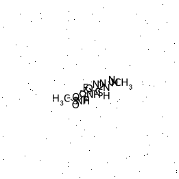 CCCS(=O)(=O)Nc1ccc(F)c(NC(=O)c2csc3c(Nc4cnn(C)c4)ncnc23)c1F